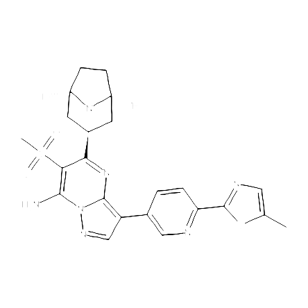 Cc1cnc(-c2ccc(-c3cnn4c(N)c(S(C)(=O)=O)c([C@H]5C[C@H]6CC[C@@H](C5)N6)nc34)cn2)s1